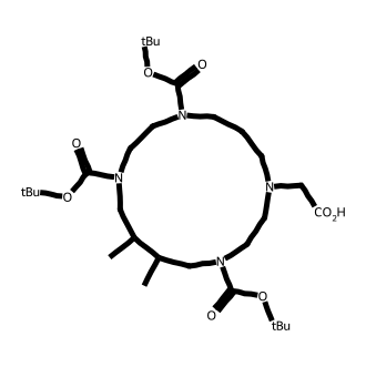 CC1CN(C(=O)OC(C)(C)C)CCN(CC(=O)O)CCCN(C(=O)OC(C)(C)C)CCN(C(=O)OC(C)(C)C)CC1C